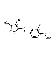 Cc1nsc(N=Nc2cnc(OC=O)c(Cl)c2)c1C#N